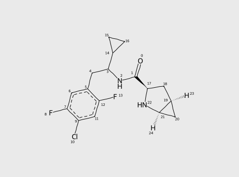 O=C(NC(Cc1cc(F)c(Cl)cc1F)C1CC1)[C@H]1C[C@H]2C[C@H]2N1